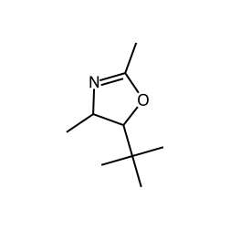 CC1=NC(C)C(C(C)(C)C)O1